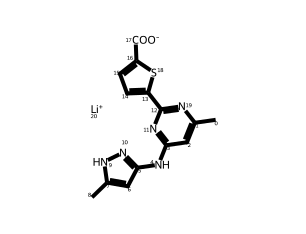 Cc1cc(Nc2cc(C)[nH]n2)nc(-c2ccc(C(=O)[O-])s2)n1.[Li+]